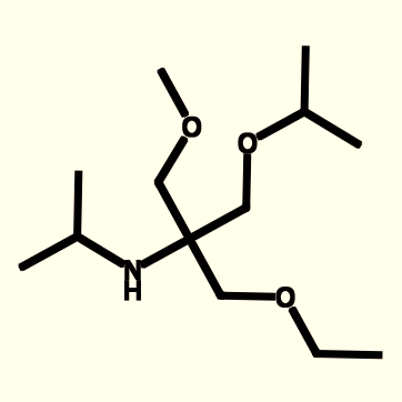 CCOCC(COC)(COC(C)C)NC(C)C